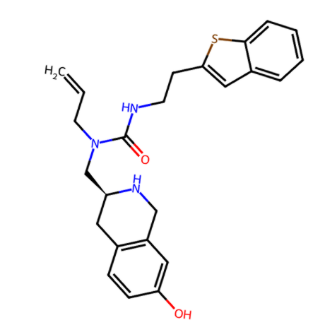 C=CCN(C[C@@H]1Cc2ccc(O)cc2CN1)C(=O)NCCc1cc2ccccc2s1